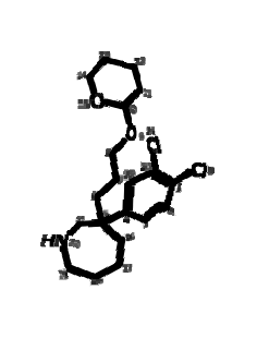 Clc1ccc(C2(CCCOC3CCCCO3)CCCCNC2)cc1Cl